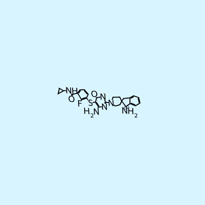 Cn1c(N2CCC3(CC2)Cc2ccccc2[C@H]3N)nc(N)c(Sc2cccc(C(=O)NC3CC3)c2F)c1=O